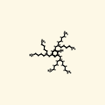 CCCCCN(CCCCC)Cc1cc(CN(CCCCC)CCCCC)c(O)c(CN(CCCCC)CCCCC)c1